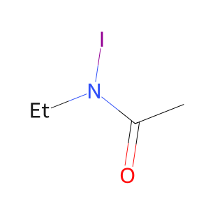 CCN(I)C(C)=O